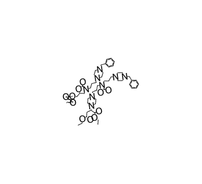 CCOC(=O)CC(C(=O)OCC)N1CCN(CC2CN(CCCN3CCN(Cc4ccccc4)CC3)C(=O)O2)CC1.CS(=O)(=O)OCC1CN(CCCN2CCN(Cc3ccccc3)CC2)C(=O)O1